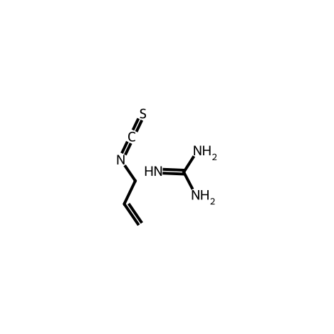 C=CCN=C=S.N=C(N)N